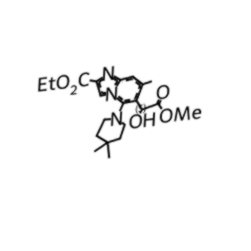 CCOC(=O)c1cn2c(N3CCC(C)(C)CC3)c([C@H](O)C(=O)OC)c(C)cc2n1